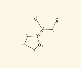 BrCC(Br)=C1CCCO1